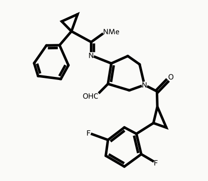 CN/C(=N\C1=C(C=O)CN(C(=O)C2CC2c2cc(F)ccc2F)CC1)C1(c2ccccc2)CC1